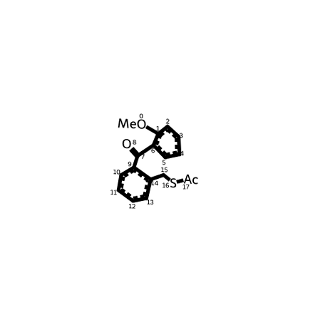 COc1ccccc1C(=O)c1ccccc1CSC(C)=O